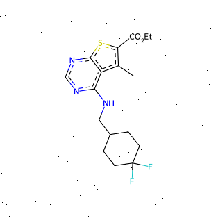 CCOC(=O)c1sc2ncnc(NCC3CCC(F)(F)CC3)c2c1C